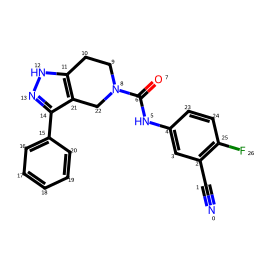 N#Cc1cc(NC(=O)N2CCc3[nH]nc(-c4ccccc4)c3C2)ccc1F